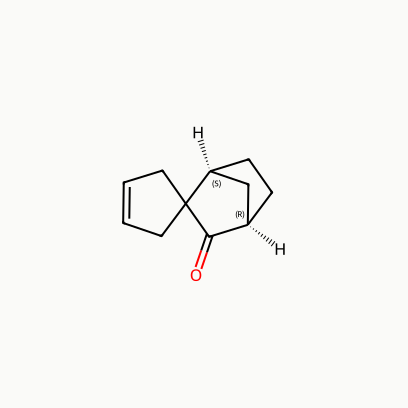 O=C1[C@@H]2CC[C@@H](C2)C12CC=CC2